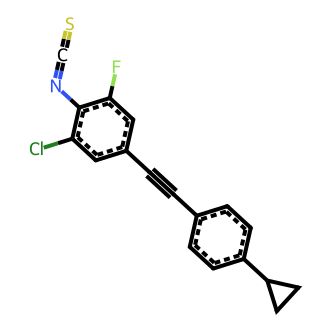 Fc1cc(C#Cc2ccc(C3CC3)cc2)cc(Cl)c1N=C=S